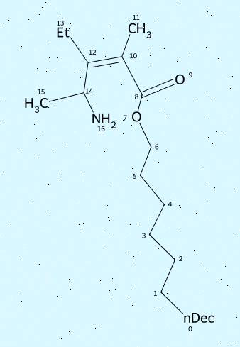 CCCCCCCCCCCCCCCCOC(=O)C(C)=C(CC)C(C)N